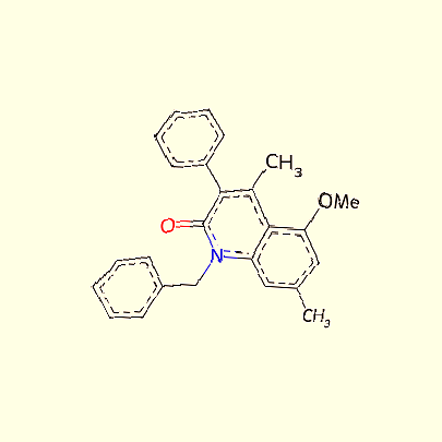 COc1cc(C)cc2c1c(C)c(-c1ccccc1)c(=O)n2Cc1ccccc1